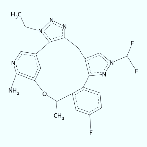 CCn1nnc2c1-c1cnc(N)c(c1)OC(C)c1cc(F)ccc1-c1nn(C(F)F)cc1C2